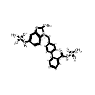 CCCCc1nc2cc(NS(C)(=O)=O)ccc2n1Cc1ccc(-c2ccccc2C(=O)NS(C)(=O)=O)cc1